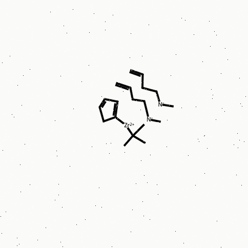 C=CCC[N-]C.C=CCC[N-]C.C[C](C)(C)[Zr+2][C]1=CC=CC1